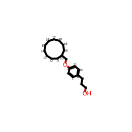 OCCCc1ccc(OCC2CCCCCCCCCC2)cc1